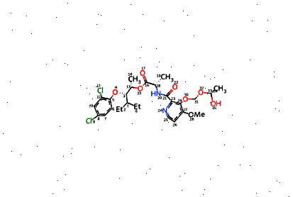 CCC(CC)[C@H](Oc1ccc(Cl)cc1Cl)[C@H](C)OC(=O)[C@H](C)NC(=O)c1nccc(OC)c1OCOC(C)O